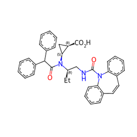 CC[C@H](CNC(=O)N1c2ccccc2C=Cc2ccccc21)N(C(=O)C(c1ccccc1)c1ccccc1)[C@H]1C[C@H]1C(=O)O